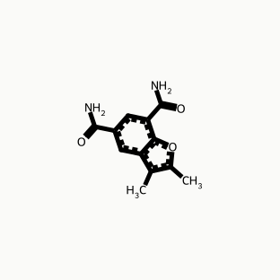 Cc1oc2c(C(N)=O)cc(C(N)=O)cc2c1C